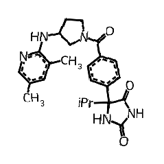 Cc1cnc(NC2CCN(C(=O)c3ccc(C4(C(C)C)NC(=O)NC4=O)cc3)C2)c(C)c1